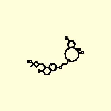 CC1(O)CC(CN2C(=O)CCc3cc(OCCN4CCCC(=O)Nc5ccc(Cl)cc5CCC4)cnc32)C1